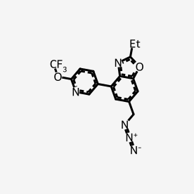 CCc1nc2c(-c3ccc(OC(F)(F)F)nc3)cc(CN=[N+]=[N-])cc2o1